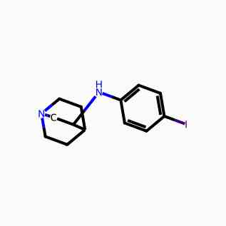 Ic1ccc(NC2CN3CCC2CC3)cc1